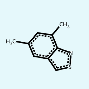 Cc1cc(C)c2nscc2c1